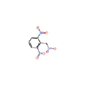 O=[N+]([O-])Cc1c([N+](=O)[O-])cccc1[N+](=O)[O-]